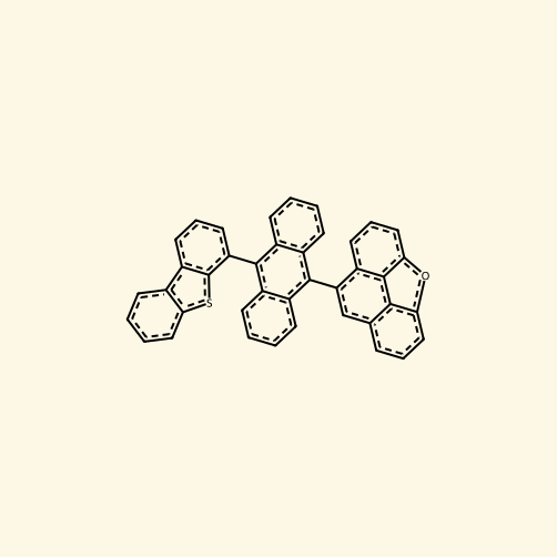 c1cc2cc(-c3c4ccccc4c(-c4cccc5c4sc4ccccc45)c4ccccc34)c3cccc4oc(c1)c2c43